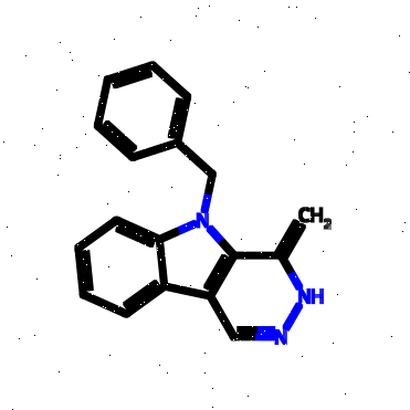 C=C1NN=Cc2c1n(Cc1ccccc1)c1ccccc21